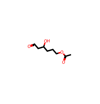 CC(=O)OCCCC(O)C[C]=O